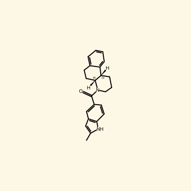 Cc1cc2cc(C(=O)N3CCC[C@H]4c5ccccc5CC[C@H]43)ccc2[nH]1